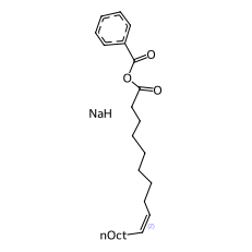 CCCCCCCC/C=C\CCCCCCCC(=O)OC(=O)c1ccccc1.[NaH]